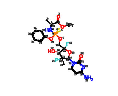 CC(C)OC(=O)[C@H](C)NP(=S)(OC[C@@]1(F)O[C@@H](n2ccc(N)nc2=O)[C@](C)(F)[C@@H]1O)Oc1ccccc1